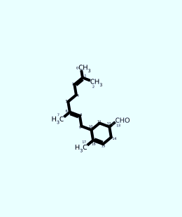 CC(C)=CCC/C(C)=C/CC1CC(C=O)CC=C1C